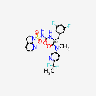 CN(C(=O)[C@H](Cc1cc(F)cc(F)c1)NC(=O)NS(=O)(=O)N1CCc2cccnc21)c1ccc(C(C)(F)F)nc1